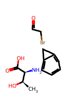 C[C@@H](O)[C@H](N)C(=O)O.O=CCBr.c1ccc2c(c1)C2